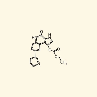 CCOC(=O)Oc1c[nH]c2c(=O)[nH]c3ccc(-c4cccnc4)cc3c12